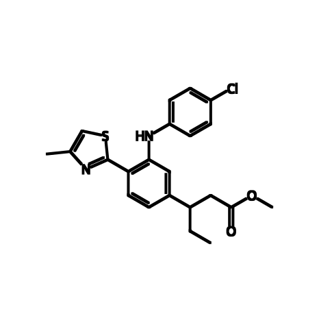 CCC(CC(=O)OC)c1ccc(-c2nc(C)cs2)c(Nc2ccc(Cl)cc2)c1